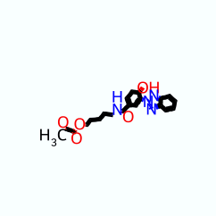 CC(=O)C(=O)OCCCCCNC(=O)C1=CCC(O)C(n2nc3ccccc3n2)=C1